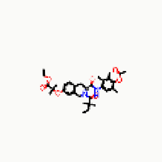 CCOC(=O)C(C)(C)Oc1ccc2c(c1)CN(C(=O)C(C)(C)CC)[C@H](C(=O)Nc1cc(C)c(OC(C)=O)c(C)c1C)C2